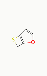 c1cc2c(o1)CS2